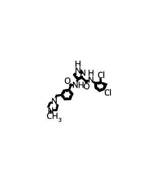 CN1CCN(Cc2cccc(C(=O)Nc3c[nH]nc3C(=O)Nc3ccc(Cl)cc3Cl)c2)CC1